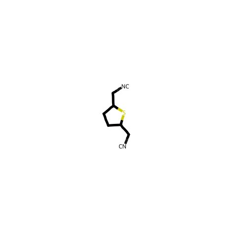 [C-]#[N+]CC1CCC(C[N+]#[C-])S1